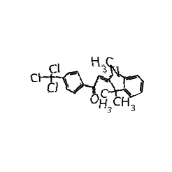 CN1/C(=C/C(=O)c2ccc(C(Cl)(Cl)Cl)cc2)C(C)(C)c2ccccc21